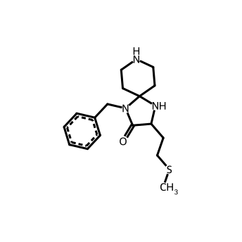 CSCCC1NC2(CCNCC2)N(Cc2ccccc2)C1=O